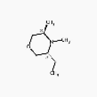 CC[C@@H]1COC[C@@H](C)N1C